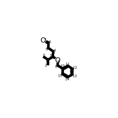 CC(C)C(CCC=O)OCc1ccccc1